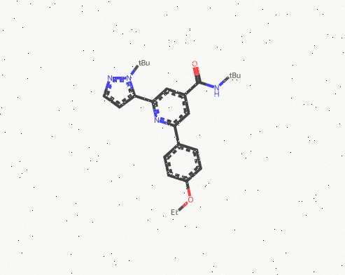 CCOc1ccc(-c2cc(C(=O)NC(C)(C)C)cc(-c3ccnn3C(C)(C)C)n2)cc1